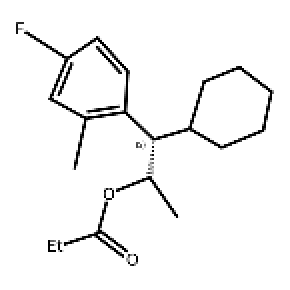 CCC(=O)OC(C)[C@H](c1ccc(F)cc1C)C1CCCCC1